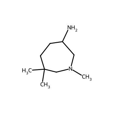 CN1CC(N)CCC(C)(C)C1